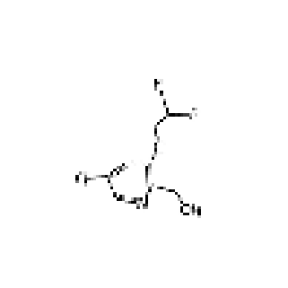 OCc1ncc(Cl)cc1OCC(F)F